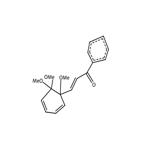 COC1(C=CC(=O)c2ccccc2)C=CC=CC1(OC)OC